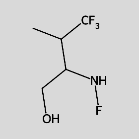 CC(C(CO)NF)C(F)(F)F